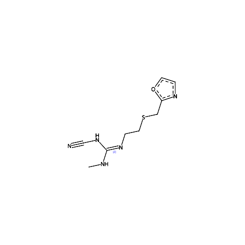 CN/C(=N/CCSCc1ncco1)NC#N